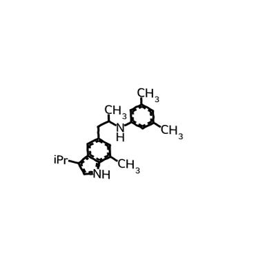 Cc1cc(C)cc(NC(C)Cc2cc(C)c3[nH]cc(C(C)C)c3c2)c1